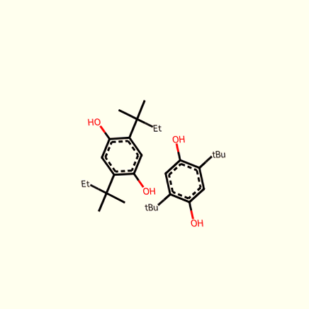 CC(C)(C)c1cc(O)c(C(C)(C)C)cc1O.CCC(C)(C)c1cc(O)c(C(C)(C)CC)cc1O